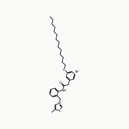 CCCCCCCCCCCCCCOc1cccc(CC(=O)Nc2ccccc2C[n+]2csc(C)c2)c1.[Br-]